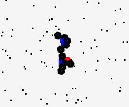 c1ccc(-c2ccc3ccc4ccc(-c5cccc(-c6ccc(-c7nc8cc9ccccc9cc8c8c7oc7ccccc78)cc6)c5)nc4c3n2)cc1